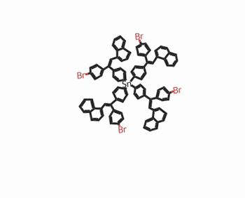 Brc1ccc(C(=Cc2cccc3ccccc23)c2cc[c]([Sn]([c]3ccc(C(=Cc4cccc5ccccc45)c4ccc(Br)cc4)cc3)([c]3ccc(C(=Cc4cccc5ccccc45)c4ccc(Br)cc4)cc3)[c]3ccc(C(=Cc4cccc5ccccc45)c4ccc(Br)cc4)cc3)cc2)cc1